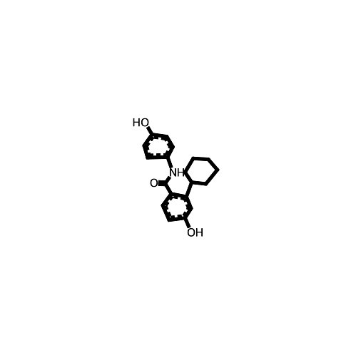 O=C(Nc1ccc(O)cc1)c1ccc(O)cc1C1CCCCC1